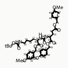 COc1ccc(COC(=O)CCC(NC(=O)N[C@H](CCCCNC(=O)OC(C)(C)C)C(=O)OCc2ccc(OC)cc2)C(=O)OCc2ccc(OC)cc2)cc1